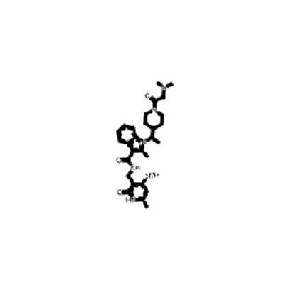 CSc1cc(C)[nH]c(=O)c1CNC(=O)c1c(C)n(C(C)C2CCN(C(=O)CN(C)C)CC2)c2ccccc12